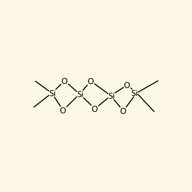 C[Si]1(C)O[Si]2(O1)O[Si]1(O[Si](C)(C)O1)O2